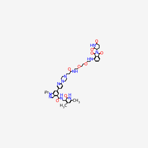 Cc1cc(C)c(CNC(=O)c2cc(-c3ccc(N4CCN(CCC(=O)NCCOCCOCCNc5cccc6c5C(=O)N(C5CCC(=O)NC5=O)C6=O)CC4)nc3)cc3c2cnn3C(C)C)c(=O)[nH]1